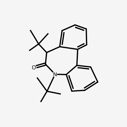 CC(C)(C)C1C(=O)N(C(C)(C)C)c2ccccc2-c2ccccc21